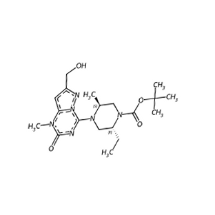 CC[C@@H]1CN(c2nc(=O)n(C)c3cc(CO)nn23)[C@@H](C)CN1C(=O)OC(C)(C)C